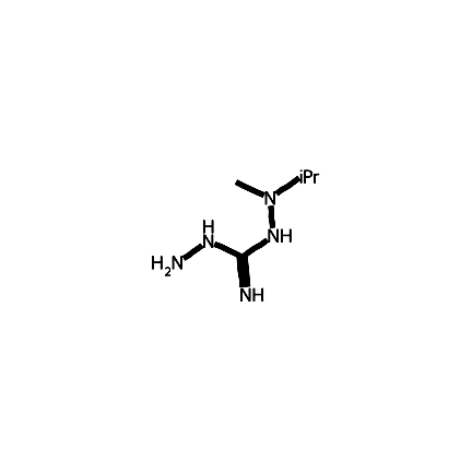 CC(C)N(C)NC(=N)NN